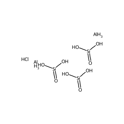 Cl.O=[Si](O)O.O=[Si](O)O.O=[Si](O)O.[AlH3].[AlH3]